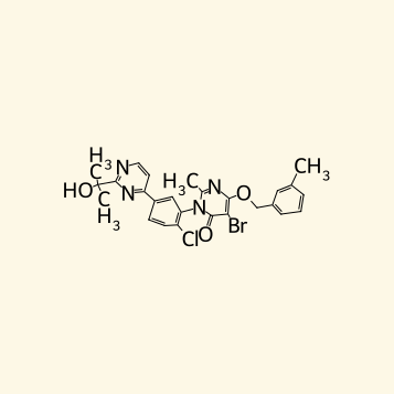 Cc1cccc(COc2nc(C)n(-c3cc(-c4ccnc(C(C)(C)O)n4)ccc3Cl)c(=O)c2Br)c1